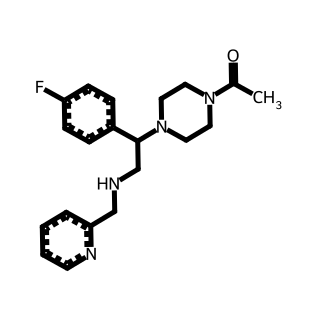 CC(=O)N1CCN(C(CNCc2ccccn2)c2ccc(F)cc2)CC1